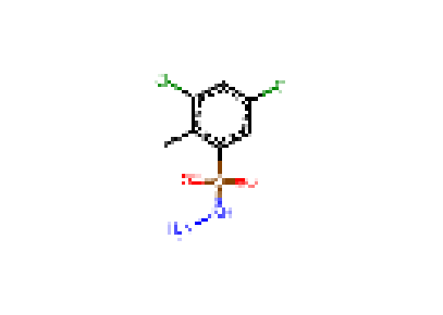 Cc1c(Cl)cc(Cl)cc1S(=O)(=O)NN